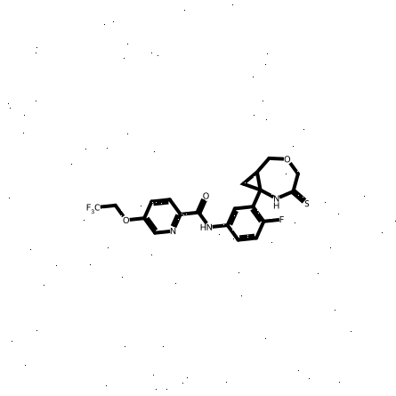 O=C(Nc1ccc(F)c(C23CC2COCC(=S)N3)c1)c1ccc(OCC(F)(F)F)cn1